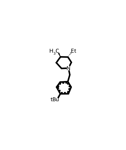 CC[C@@H]1CN(Cc2ccc(C(C)(C)C)cc2)CC[C@H]1C